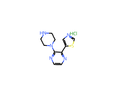 Cl.c1cnc(N2CCNCC2)c(-c2cncs2)n1